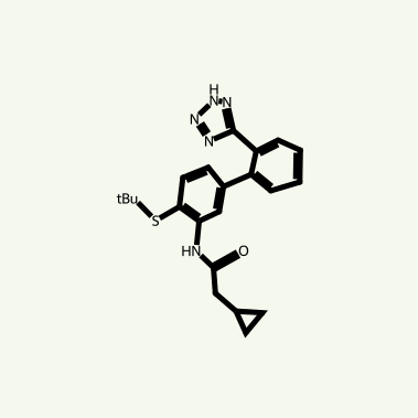 CC(C)(C)Sc1ccc(-c2ccccc2-c2nn[nH]n2)cc1NC(=O)CC1CC1